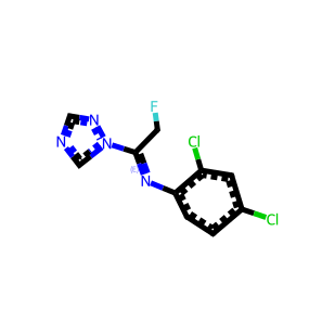 FC/C(=N\c1ccc(Cl)cc1Cl)n1cncn1